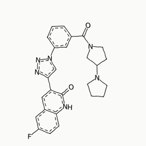 O=C(c1cccc(-n2cc(-c3cc4cc(F)ccc4[nH]c3=O)nn2)c1)N1CCC(N2CCCC2)C1